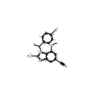 COc1cc(C#N)cc2nc(N)n(C(C)c3ccc(Br)cc3)c12